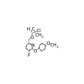 COc1ccc(Oc2nc(COCC(C)(C)Cl)ccc2F)cc1